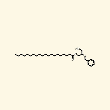 CCCCCCCCCCCCCCCCCCCC(=O)OCC(CO)OCc1ccccc1